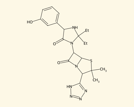 CCC1(CC)NC(c2cccc(O)c2)C(=O)N1C1C(=O)N2C1SC(C)(C)C2c1nnn[nH]1